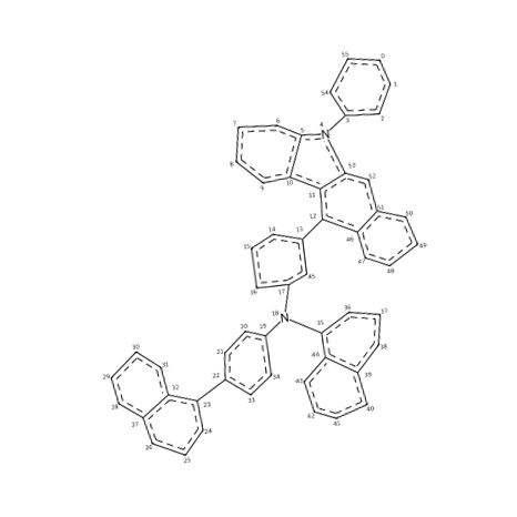 c1ccc(-n2c3ccccc3c3c(-c4cccc(N(c5ccc(-c6cccc7ccccc67)cc5)c5cccc6ccccc56)c4)c4ccccc4cc32)cc1